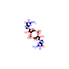 Nc1nc2c(ncn2[C@@H]2O[C@H]3CO[P@](=O)(S)OC4C(O)[C@H](n5cnc6c(=O)[nH]c(N)nc65)O[C@@H]4CO[P@@](=O)(S)OC3C2O)c(=O)[nH]1